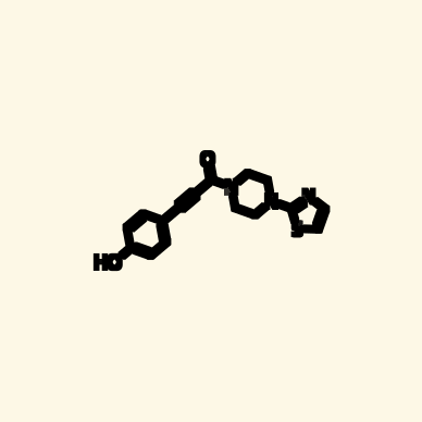 O=C(C#Cc1ccc(O)cc1)N1CCN(c2nccs2)CC1